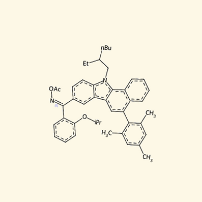 CCCCC(CC)Cn1c2ccc(/C(=N\OC(C)=O)c3ccccc3OC(C)C)cc2c2cc(-c3c(C)cc(C)cc3C)c3ccccc3c21